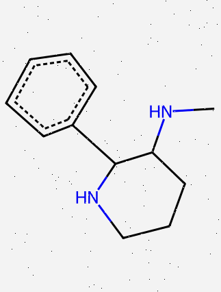 CNC1CCCNC1c1ccccc1